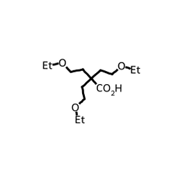 CCOCCC(CCOCC)(CCOCC)C(=O)O